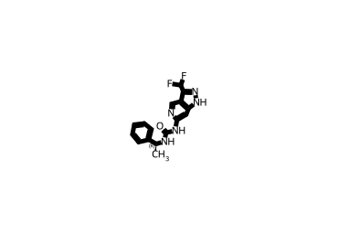 C[C@@H](NC(=O)Nc1cc2[nH]nc(C(F)F)c2cn1)c1ccccc1